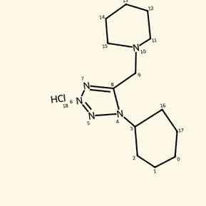 C1CCC(n2nnnc2CN2CCCCC2)CC1.Cl